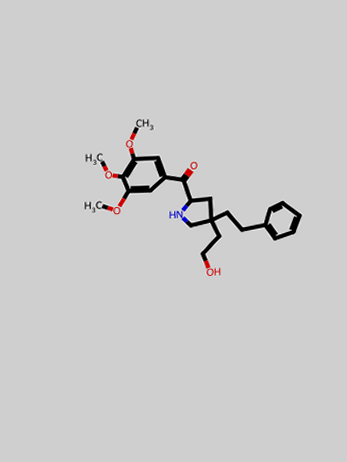 COc1cc(C(=O)C2CC(CCO)(CCc3ccccc3)CN2)cc(OC)c1OC